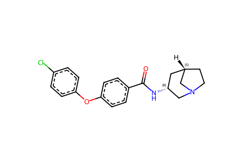 O=C(N[C@@H]1C[C@@H]2CCN(C2)C1)c1ccc(Oc2ccc(Cl)cc2)cc1